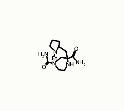 CCN1CCCC1CC1(C(N)=O)CN(C(N)=O)CCN1